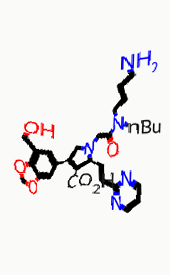 CCCCN(CCCCN)C(=O)CN1C[C@H](c2cc(CO)c3c(c2)OCO3)[C@@H](C(=O)O)[C@@H]1CCc1ncccn1